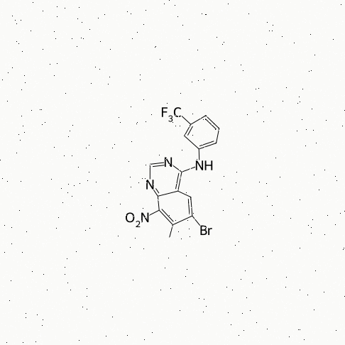 Cc1c(Br)cc2c(Nc3cccc(C(F)(F)F)c3)ncnc2c1[N+](=O)[O-]